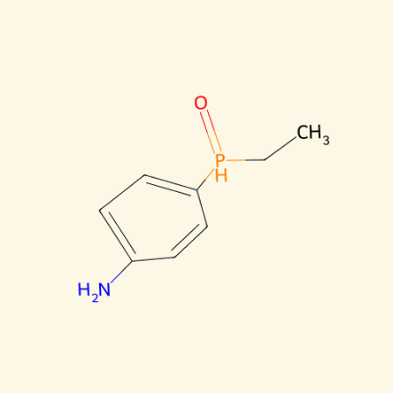 CC[PH](=O)c1ccc(N)cc1